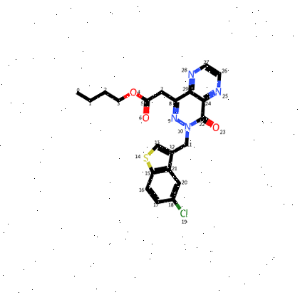 CCCCOC(=O)Cc1nn(Cc2csc3ccc(Cl)cc23)c(=O)c2nccnc12